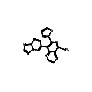 Nc1nc(-c2ccco2)c(-c2ccc3ncnn3c2)c2nccnc12